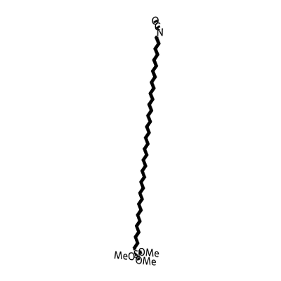 CO[Si](CCCCCCCCCCCCCCCCCCCCCCCCCCCCCCCCCCCCCCCN=C=O)(OC)OC